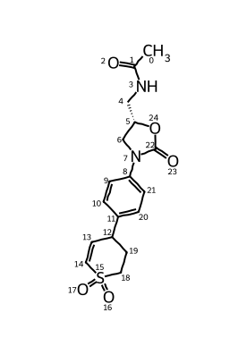 CC(=O)NC[C@H]1CN(c2ccc(C3C=CS(=O)(=O)CC3)cc2)C(=O)O1